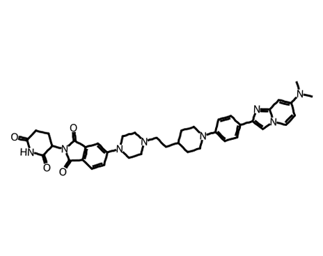 CN(C)c1ccn2cc(-c3ccc(N4CCC(CCN5CCN(c6ccc7c(c6)C(=O)N(C6CCC(=O)NC6=O)C7=O)CC5)CC4)cc3)nc2c1